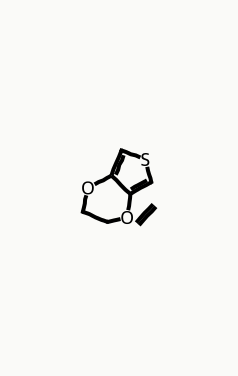 C=C.c1scc2c1OCCO2